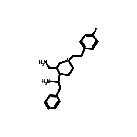 NCC1CN(CCc2ccc(F)cc2)CCC1C(N)Cc1ccccc1